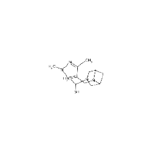 Cc1nn(C)cc1CN1C2CC1CN(C(C)S)C2